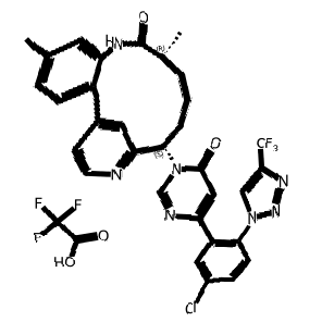 Cc1ccc2c(c1)NC(=O)[C@H](C)CCC[C@H](n1cnc(-c3cc(Cl)ccc3-n3cc(C(F)(F)F)nn3)cc1=O)c1cc-2ccn1.O=C(O)C(F)(F)F